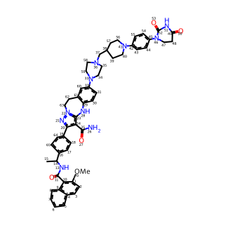 COc1ccc2ccccc2c1C(=O)NC(C)c1ccc(-c2nn3c(c2C(N)=O)Nc2ccc(N4CCN(CC5CCN(c6ccc(N7CCC(=O)NC7=O)cc6)CC5)CC4)cc2CC3)cc1